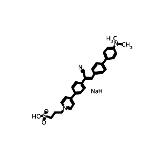 CN(C)c1ccc(-c2ccc(/C=C(\C#N)c3ccc(-c4cc[n+](CCCS(=O)(=O)O)cc4)cc3)cc2)cc1.[NaH]